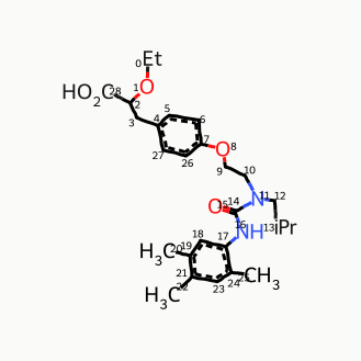 CCOC(Cc1ccc(OCCN(CC(C)C)C(=O)Nc2cc(C)c(C)cc2C)cc1)C(=O)O